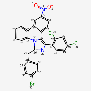 O=[N+]([O-])c1cccc(-c2ccccc2-n2cc(-c3ccc(Cl)cc3Cl)nc2Cc2ccc(Br)cc2)c1